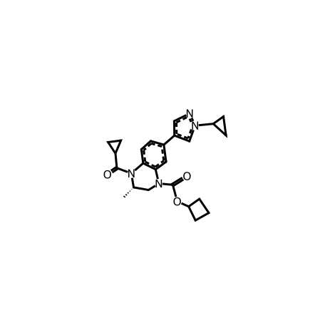 C[C@H]1CN(C(=O)OC2CCC2)c2cc(-c3cnn(C4CC4)c3)ccc2N1C(=O)C1CC1